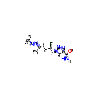 C=C/C(CCC(F)Cn1cc(C(=O)NC)nn1)=N\N=C(C)C